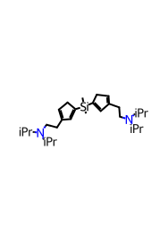 CC(C)N(CCC1=CCC([Si](C)(C)C2=CC(CCN(C(C)C)C(C)C)=CC2)=C1)C(C)C